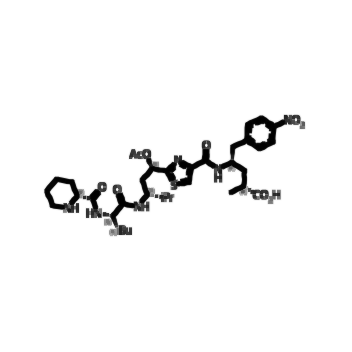 CC[C@H](C)[C@H](NC(=O)[C@H]1CCCCN1)C(=O)N[C@H](C[C@@H](OC(C)=O)c1nc(C(=O)N[C@@H](Cc2ccc([N+](=O)[O-])cc2)C[C@@H](C)C(=O)O)cs1)C(C)C